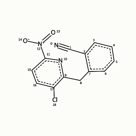 N#Cc1ccccc1Cc1nc([N+](=O)[O-])ccc1Cl